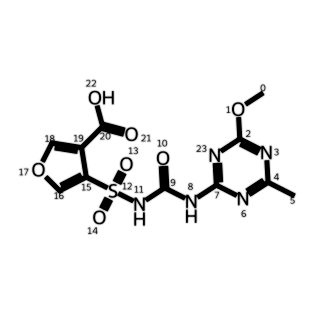 COc1nc(C)nc(NC(=O)NS(=O)(=O)c2cocc2C(=O)O)n1